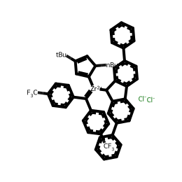 CCCCC1C=C(C(C)(C)C)C=[C]1[Zr+2](=[C](c1ccc(C(F)(F)F)cc1)c1ccc(C(F)(F)F)cc1)[CH]1c2cc(-c3ccccc3)ccc2-c2ccc(-c3ccccc3)cc21.[Cl-].[Cl-]